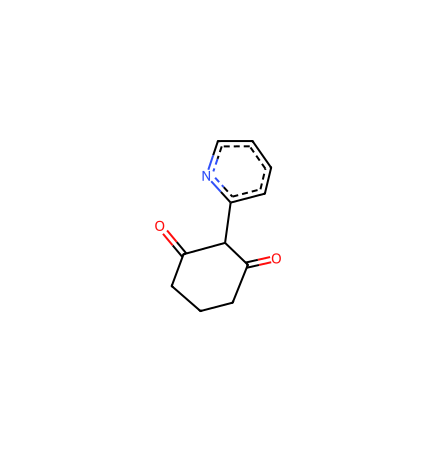 O=C1CCCC(=O)C1c1ccccn1